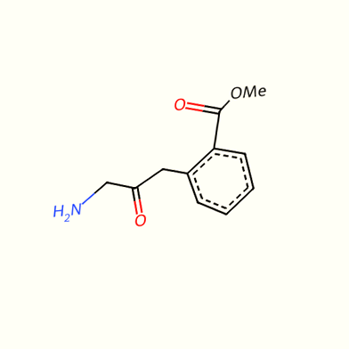 COC(=O)c1ccccc1CC(=O)CN